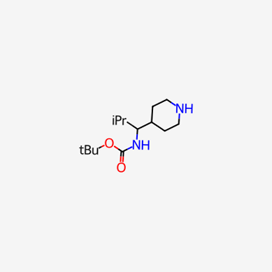 CC(C)C(NC(=O)OC(C)(C)C)C1CCNCC1